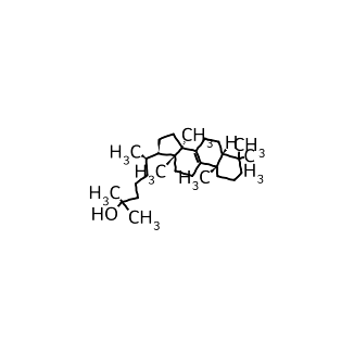 C[C@H](CCCC(C)(C)O)[C@H]1CC[C@@]2(C)C3=C(CC[C@]12C)[C@@]1(C)CCCC(C)(C)[C@H]1CC3